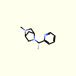 C[C@@H](c1ccccn1)N1CC2CC1CN2C